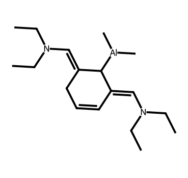 CCN(C=C1C=CCC(=CN(CC)CC)[CH]1[Al]([CH3])[CH3])CC